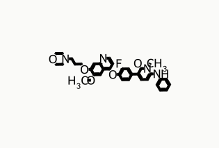 COc1cc2c(Oc3ccc(-c4ccc(Nc5ccccc5)n(C)c4=O)cc3F)ccnc2cc1OCCCN1CCOCC1